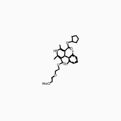 COCCOCCOC(=O)C1=C(C)NC(C)=C(C(=O)OC2CCCC2)C1c1c(F)cccc1Cl